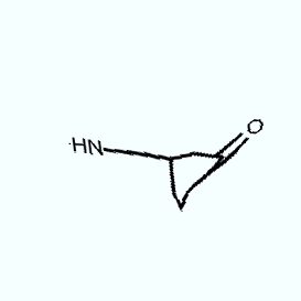 [NH]C1CC1=O